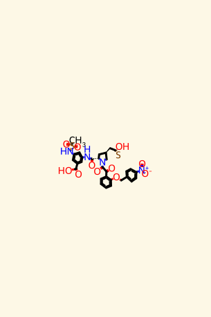 CS(=O)(=O)Nc1cc(NC(=O)[C@@H]2C[C@@H](CC(O)=S)CN2C(=O)C(=O)c2ccccc2OCc2ccc([N+](=O)[O-])cc2)cc(C(=O)O)c1